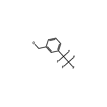 [O]Cc1cccc(C(F)(F)C(F)(F)F)c1